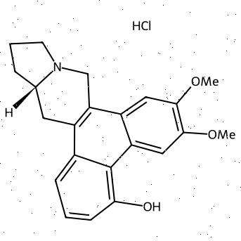 COc1cc2c3c(c4cccc(O)c4c2cc1OC)C[C@@H]1CCCN1C3.Cl